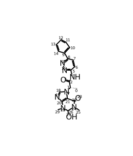 C[C@@H](C(=O)Nc1ccc(-c2ccccc2)nn1)n1cnc2c1C(=O)N(C)C(O)N2C